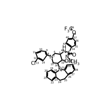 CN=S(=O)(NC1CN(c2cccc(Cl)c2)CC(N2c3ccccc3CCc3ccccc32)C1O)c1ccc(OC(F)(F)F)cc1